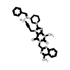 CC#CCn1c(N2CCC[C@@H](/N=C/c3ccccc3)C2)nc2c1c(=O)n(Cc1nc(C)c3ccccc3n1)c(=O)n2C